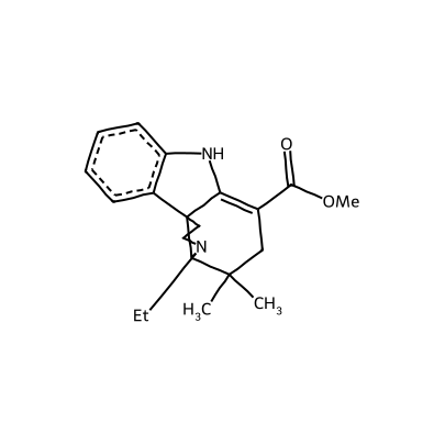 CCN1CCC23C(=C(C(=O)OC)CC(C)(C)C12)Nc1ccccc13